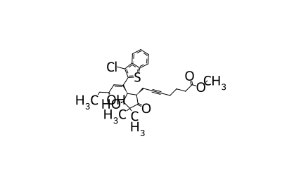 CC[C@H](O)/C=C(/c1sc2ccccc2c1Cl)[C@H]1[C@@H](CC#CCCCC(=O)OC)C(=O)C(C)(C)[C@H]1O